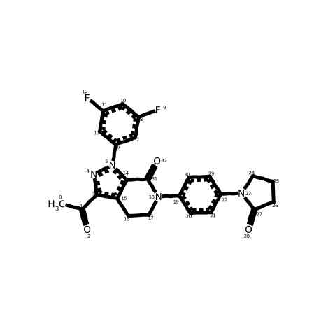 CC(=O)c1nn(-c2cc(F)cc(F)c2)c2c1CCN(c1ccc(N3CCCC3=O)cc1)C2=O